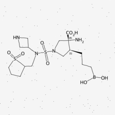 N[C@@]1(C(=O)O)CN(S(=O)(=O)N(CC2CCCS2(=O)=O)C2CNC2)C[C@@H]1CCCB(O)O